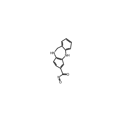 O=NC(=O)c1ccc2c(c1)Nc1ccccc1CN2